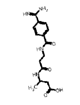 CC(CC(=O)O)NC(=O)CCNC(=O)c1ccc(C(=N)N)cc1